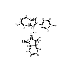 Cc1ccc(-c2nc3ccc(C)cn3c2CON2C(=O)c3ccccc3C2=O)cc1